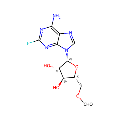 Nc1nc(F)nc2c1ncn2[C@@H]1O[C@H](COC=O)[C@@H](O)[C@@H]1O